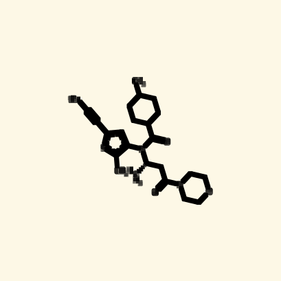 CC1CCC(C(=O)N(c2cc(C#CC(C)(C)C)sc2C(=O)O)[C@@H](C)CC(=O)N2CCOCC2)CC1